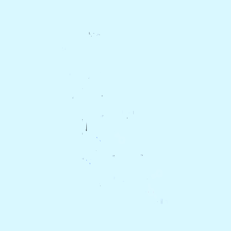 COc1ccc([C@H]2CC[C@H](CN(C(=O)CC(C)(C)C)c3nccc4cc(C(=O)OC(C)C)ccc34)CC2)cc1C